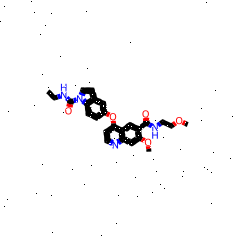 CCNC(=O)n1ccc2cc(Oc3ccnc4cc(OC)c(C(=O)NCCOC)cc34)ccc21